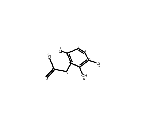 C=C(Cl)Cc1c(Cl)ccc(Cl)c1O